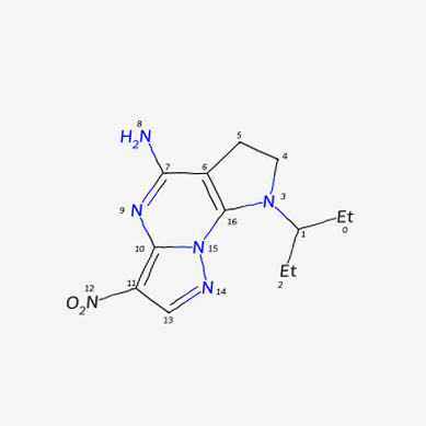 CCC(CC)N1CCc2c(N)nc3c([N+](=O)[O-])cnn3c21